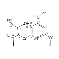 COc1cc(OC)nc(SC(C(C)C)C(O)C#N)n1